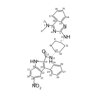 CN(C)c1nc(N[C@H]2CC[C@@H](NC(=O)c3[nH]c4ccc([N+](=O)[O-])cc4c3-c3ccccc3)CC2)nc2ccccc12